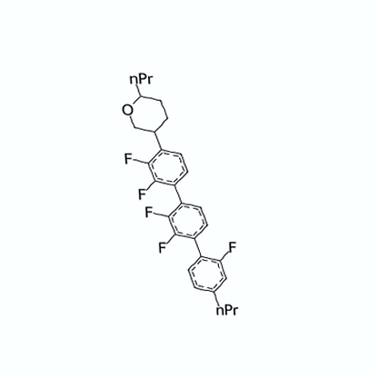 CCCc1ccc(-c2ccc(-c3ccc(C4CCC(CCC)OC4)c(F)c3F)c(F)c2F)c(F)c1